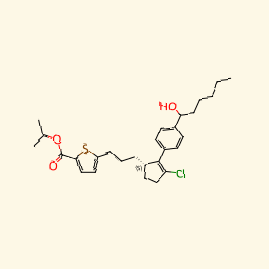 CCCCCC(O)c1ccc(C2=C(Cl)CC[C@@H]2CCCc2ccc(C(=O)OC(C)C)s2)cc1